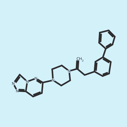 C=C(Cc1cccc(-c2ccccc2)c1)N1CCN(c2ccc3nncn3n2)CC1